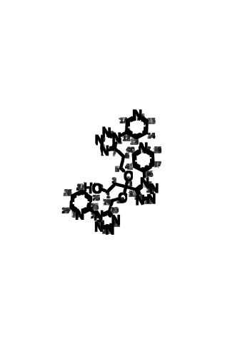 OCCC(OCCc1nnnn1-c1cccnc1)(OCc1nnnn1-c1ccccn1)c1nnnn1-c1ccncc1